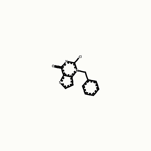 O=c1nc(Cl)n(Cc2ccccc2)c2ccsc12